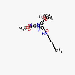 CCCCCCCCCCCCCCCCNC(=O)C=Cc1ccc(-c2[nH]c(-c3ccc(-c4cc(C(=O)OCC)on4)cc3)nc2-c2ccc(/C=C/C(=O)OC(C)(C)C)cc2)cc1